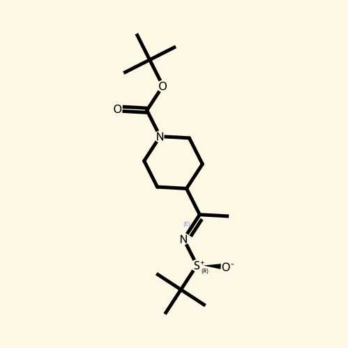 C/C(=N\[S@@+]([O-])C(C)(C)C)C1CCN(C(=O)OC(C)(C)C)CC1